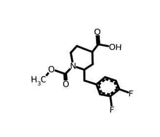 COC(=O)N1CCC(C(=O)O)CC1Cc1ccc(F)c(F)c1